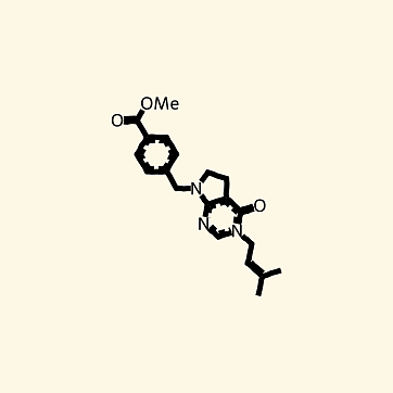 COC(=O)c1ccc(CN2CCc3c2ncn(CC=C(C)C)c3=O)cc1